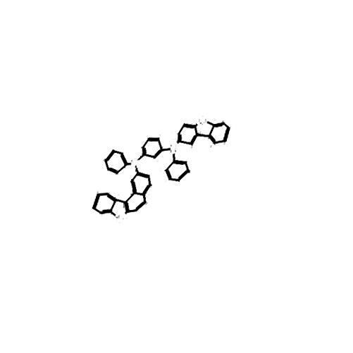 c1ccc(N(c2cccc(N(c3ccccc3)c3ccc4ccc5oc6ccccc6c5c4c3)c2)c2ccc3oc4ccccc4c3c2)cc1